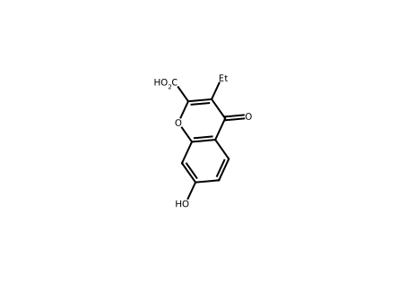 CCc1c(C(=O)O)oc2cc(O)ccc2c1=O